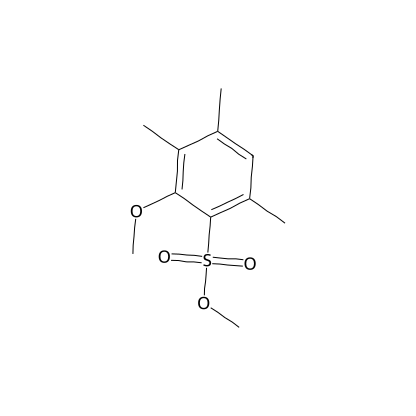 COc1c(C)c(C)cc(C)c1S(=O)(=O)OC